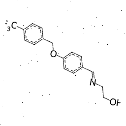 OCCN=Cc1ccc(OCc2ccc(C(F)(F)F)cc2)cc1